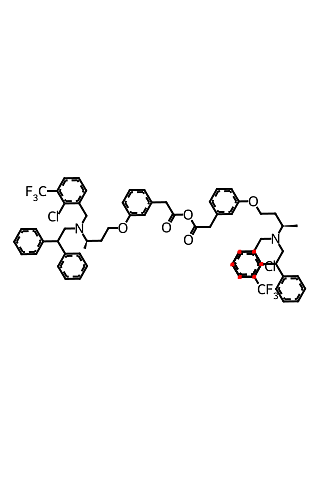 C[C@H](CCOc1cccc(CC(=O)OC(=O)Cc2cccc(OCC[C@@H](C)N(Cc3cccc(C(F)(F)F)c3Cl)CC(c3ccccc3)c3ccccc3)c2)c1)N(Cc1cccc(C(F)(F)F)c1Cl)CC(c1ccccc1)c1ccccc1